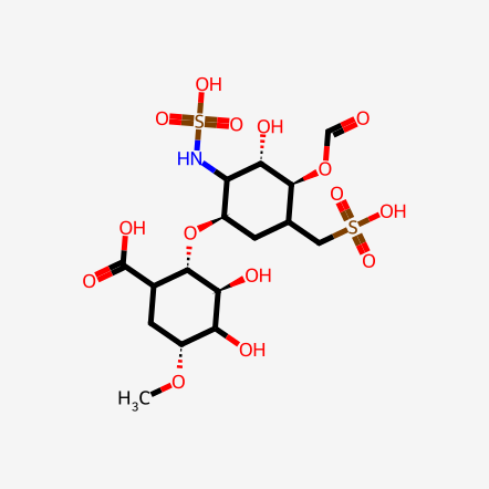 CO[C@@H]1CC(C(=O)O)[C@H](O[C@@H]2CC(CS(=O)(=O)O)[C@H](OC=O)[C@@H](O)C2NS(=O)(=O)O)[C@@H](O)C1O